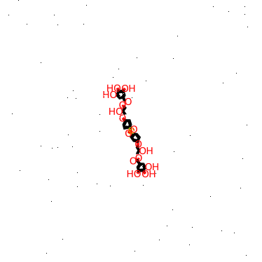 O=C(OCC(O)COc1ccc(S(=O)(=O)c2ccc(OCC(O)COC(=O)c3cc(O)c(O)c(O)c3)cc2)cc1)c1cc(O)c(O)c(O)c1